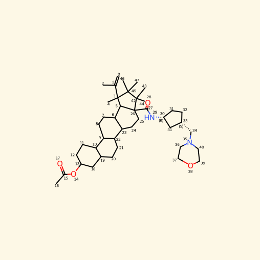 C=C(C)C1(C)C2C3CCC4C5CCC(OC(C)=O)CC5CCC4C3CCC2(C(=O)N[C@@H]2CC[C@H](CN3CCOCC3)C2)C(C)(C)C1(C)C